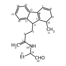 C=C(CCC1C2=C(C=CCC2C)c2ccccc21)NC(C=O)CC